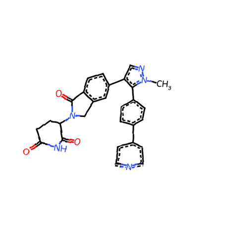 Cn1ncc(-c2ccc3c(c2)CN(C2CCC(=O)NC2=O)C3=O)c1-c1ccc(-c2ccncc2)cc1